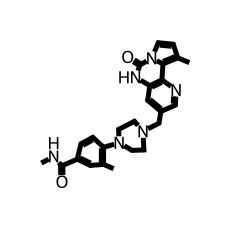 CNC(=O)c1ccc(N2CCN(Cc3cnc4c(c3)[nH]c(=O)n3ccc(C)c43)CC2)c(C)c1